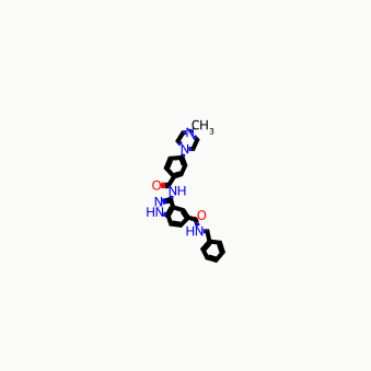 CN1CCN(c2ccc(C(=O)Nc3n[nH]c4ccc(C(=O)NCc5ccccc5)cc34)cc2)CC1